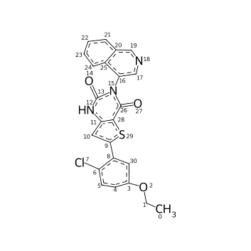 CCOc1ccc(Cl)c(-c2cc3[nH]c(=O)n(-c4cncc5ccccc45)c(=O)c3s2)c1